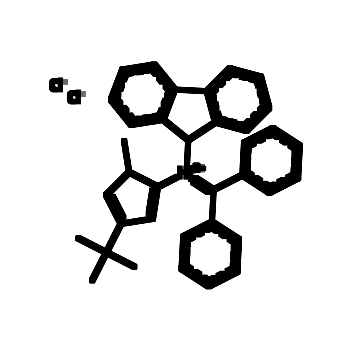 CC1C=C(C(C)(C)C)C=[C]1[Hf+2](=[C](c1ccccc1)c1ccccc1)[CH]1c2ccccc2-c2ccccc21.[Cl-].[Cl-]